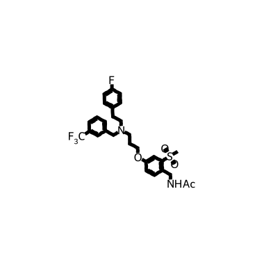 CC(=O)NCc1ccc(OCCCN(CCc2ccc(F)cc2)Cc2cccc(C(F)(F)F)c2)cc1S(C)(=O)=O